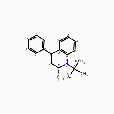 C[C@H](CC(c1ccccc1)c1ccccc1)NC(C)(C)C